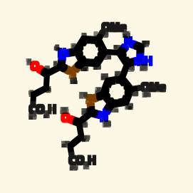 COc1cc2nc(C(=O)CCC(=O)O)sc2cc1-c1nc[nH]c1-c1cc2sc(C(=O)CCC(=O)O)nc2cc1OC